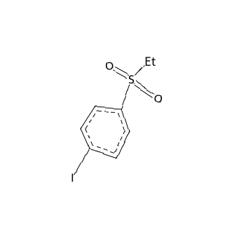 CCS(=O)(=O)c1ccc(I)cc1